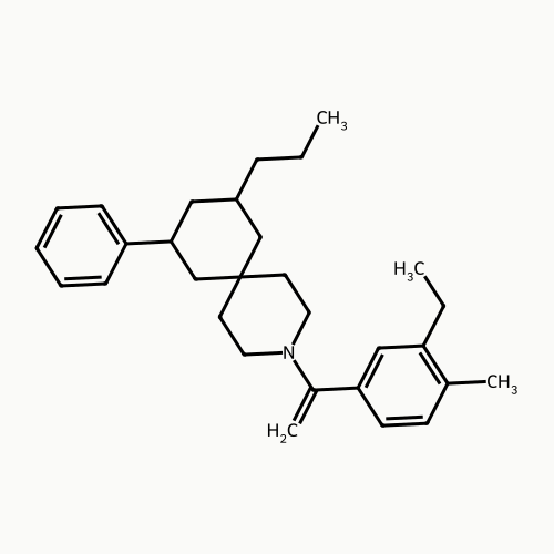 C=C(c1ccc(C)c(CC)c1)N1CCC2(CC1)CC(CCC)CC(c1ccccc1)C2